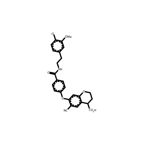 COc1cc(CCNC(=O)c2ccc(Oc3cc4c(cc3C#N)C(C(=O)O)CCO4)cc2)ccc1Cl